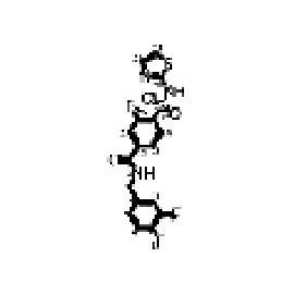 O=C(NCc1ccc(F)c(F)c1)c1ccc(S(=O)(=O)Nc2nccs2)c(F)c1